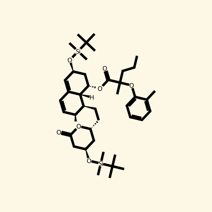 CCCC(C)(Oc1ccccc1C)C(=O)O[C@H]1C[C@H](O[Si](C)(C)C(C)(C)C)C=C2C=C[C@H](C)[C@H](CC[C@@H]3C[C@@H](O[Si](C)(C)C(C)(C)C)CC(=O)O3)[C@H]21